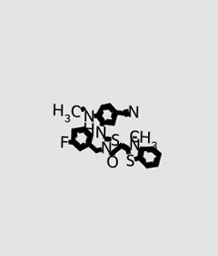 CCNc1ccc(C#N)cc1N=C1SC(=C2Sc3ccccc3N2C)C(=O)N1Cc1cccc(F)c1